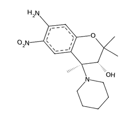 CC1(C)Oc2cc(N)c([N+](=O)[O-])cc2[C@](C)(N2CCCCC2)[C@H]1O